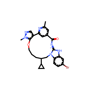 Cc1cc2cc(n1)-c1cnn(C)c1OCCCC(C1CC1)CN1/C(=N/C2=O)Nc2cc(Br)ccc21